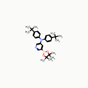 CC(C)(C)c1ccc(N(c2ccc(C(C)(C)C)cc2)c2cncc(B3OC(C)(C)C(C)(C)O3)c2)cc1